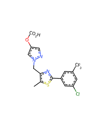 Cc1sc(-c2cc(Cl)cc(C(F)(F)F)c2)nc1Cn1cc(OC(=O)O)cn1